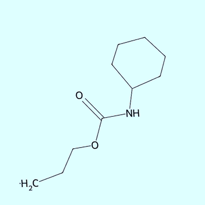 [CH2]CCOC(=O)NC1CCCCC1